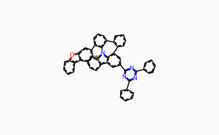 Clc1cc2c(cc1-c1cccc3c1-n1c4ccccc4c4cc(-c5nc(-c6ccccc6)nc(-c6ccccc6)n5)cc(c41)-c1ccccc1-3)oc1ccccc12